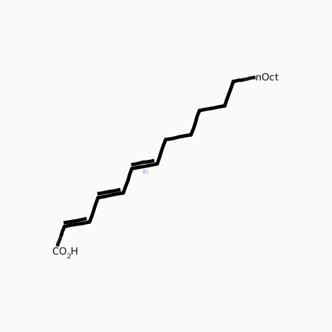 CCCCCCCCCCCCC/C=C/C=CC=CC(=O)O